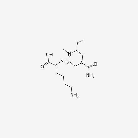 CC[C@H]1CN(C(N)=O)CCN1C.NCCCCC(N)C(=O)O